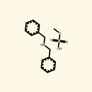 COS(=O)(=O)O.c1ccc(CNCc2ccccc2)cc1